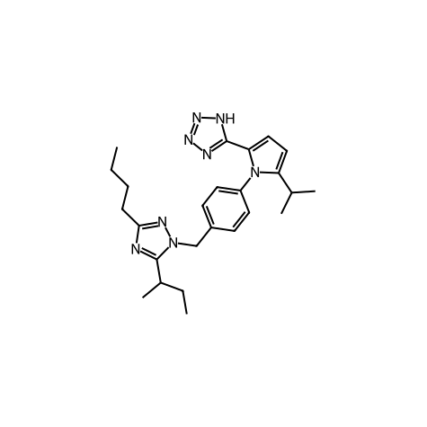 CCCCc1nc(C(C)CC)n(Cc2ccc(-n3c(-c4nnn[nH]4)ccc3C(C)C)cc2)n1